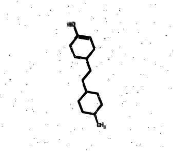 CC1CCC(CCC2CC=C(O)CC2)CC1